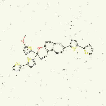 COc1ccc(C2(c3ccc(-c4cccs4)s3)C=Cc3c(ccc4cc(-c5ccc(-c6cccs6)s5)ccc34)O2)s1